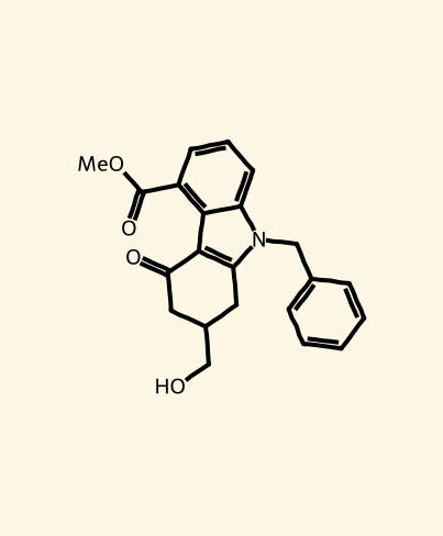 COC(=O)c1cccc2c1c1c(n2Cc2ccccc2)CC(CO)CC1=O